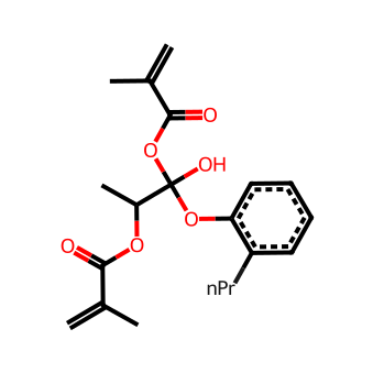 C=C(C)C(=O)OC(C)C(O)(OC(=O)C(=C)C)Oc1ccccc1CCC